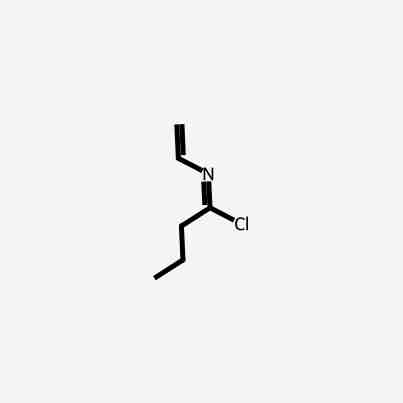 C=C/N=C(/Cl)CCC